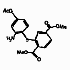 COC(=O)c1ccc(C(=O)OC)c(Sc2ccc(OC(C)=O)cc2N)c1